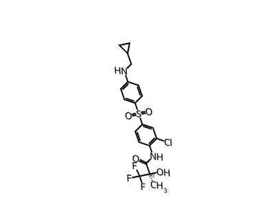 C[C@@](O)(C(=O)Nc1ccc(S(=O)(=O)c2ccc(NCC3CC3)cc2)cc1Cl)C(F)(F)F